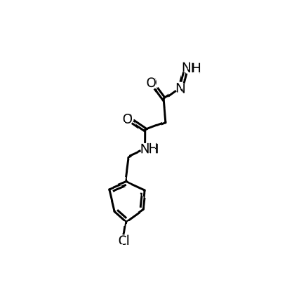 N=NC(=O)CC(=O)NCc1ccc(Cl)cc1